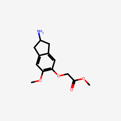 COC(=O)COc1cc2c(cc1OC)CC(N)C2